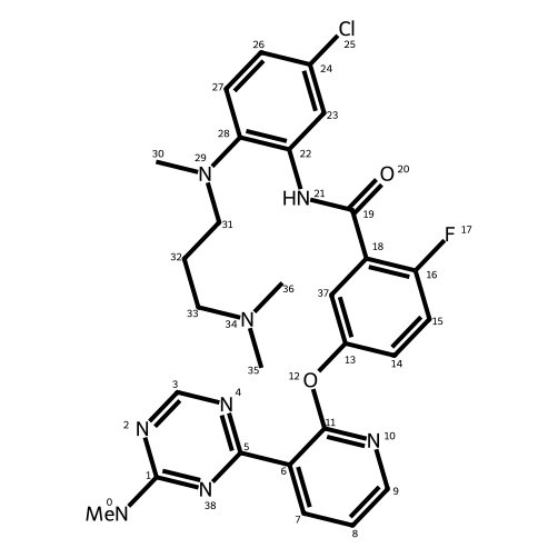 CNc1ncnc(-c2cccnc2Oc2ccc(F)c(C(=O)Nc3cc(Cl)ccc3N(C)CCCN(C)C)c2)n1